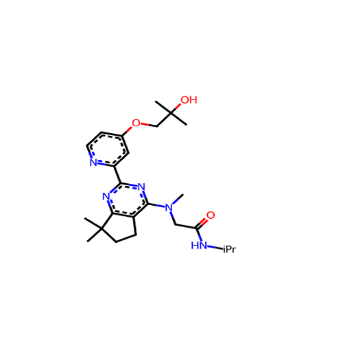 CC(C)NC(=O)CN(C)c1nc(-c2cc(OCC(C)(C)O)ccn2)nc2c1CCC2(C)C